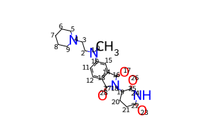 CN(CCN1CCCCC1)c1ccc2c(c1)C(=O)N(C1CCC(=O)NC1=O)C2=O